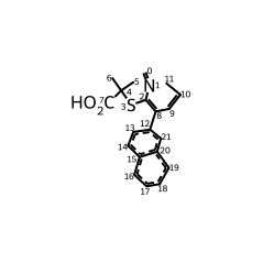 C=N/C(SC(C)(C)C(=O)O)=C(\C=C/C)c1ccc2ccccc2c1